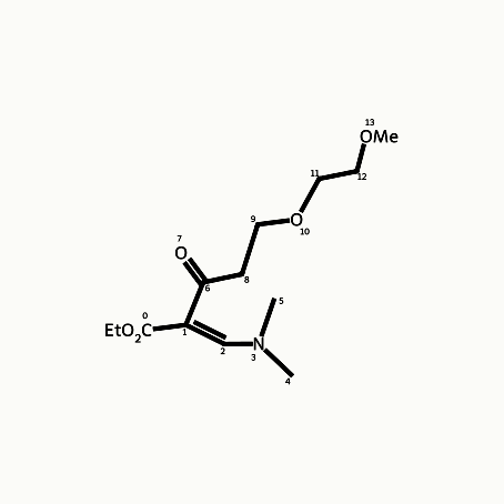 CCOC(=O)/C(=C/N(C)C)C(=O)CCOCCOC